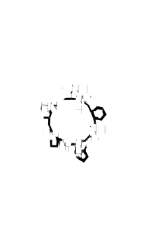 CC1CC(=O)N2CCC[C@H]2CC(=O)N[C@@H](Cc2ccco2)C(=O)NCc2ccccc2CC(=O)N[C@H](C(N)=O)CCNC1=O